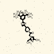 CCc1nc(C)cn1CC(=O)N1CCC(c2csc(-c3cc(C(C)(C)C)c(OC)c(C(C)(C)C)c3)n2)CC1